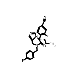 CCC[C@]1(c2ccc(C#N)cc2F)C(=O)N(Cc2ccc(F)cc2)Cc2cncn21